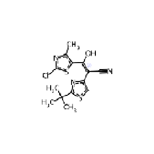 Cc1nc(Cl)sc1/C(O)=C(/C#N)c1csc(C(C)(C)C)n1